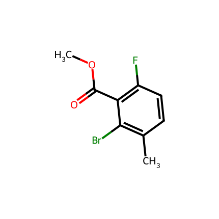 COC(=O)c1c(F)ccc(C)c1Br